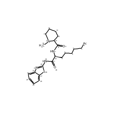 CC(=O)CCCCC[C@H](NC(=O)C1CCCCN1C)C(=O)Nc1nc2ccccc2s1